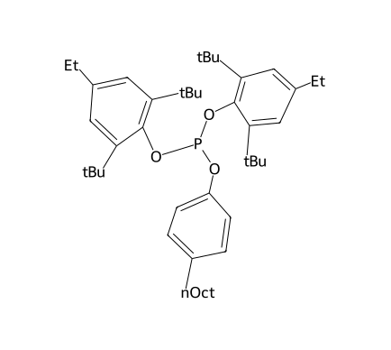 CCCCCCCCc1ccc(OP(Oc2c(C(C)(C)C)cc(CC)cc2C(C)(C)C)Oc2c(C(C)(C)C)cc(CC)cc2C(C)(C)C)cc1